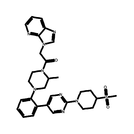 CC1CN(c2ccccc2-c2cnc(N3CCC(S(C)(=O)=O)CC3)nc2)CCN1C(=O)Cn1cnc2cccnc21